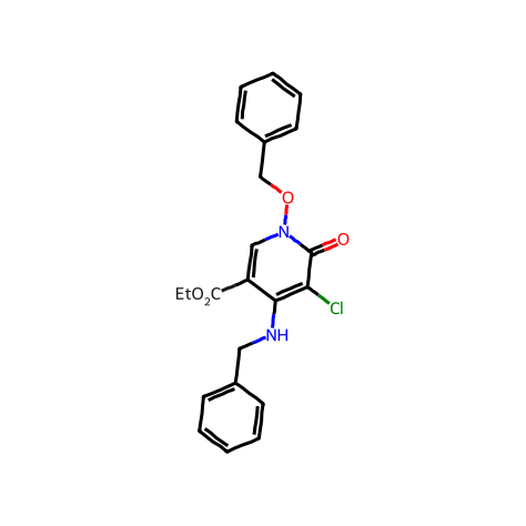 CCOC(=O)c1cn(OCc2ccccc2)c(=O)c(Cl)c1NCc1ccccc1